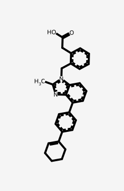 Cc1nc2c(-c3ccc(C4=CCCCC4)cc3)cccc2n1Cc1ccccc1CC(=O)O